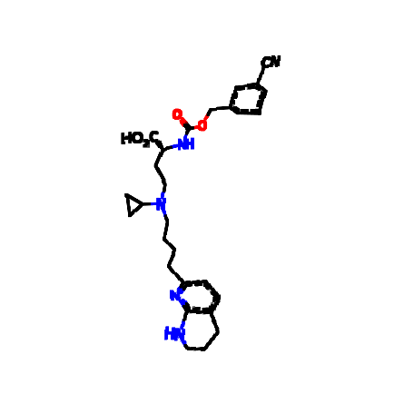 N#Cc1cccc(COC(=O)N[C@@H](CCN(CCCCc2ccc3c(n2)NCCC3)C2CC2)C(=O)O)c1